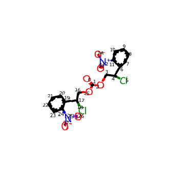 O=C(OCC(Cl)c1ccccc1[N+](=O)[O-])OCC(Cl)c1ccccc1[N+](=O)[O-]